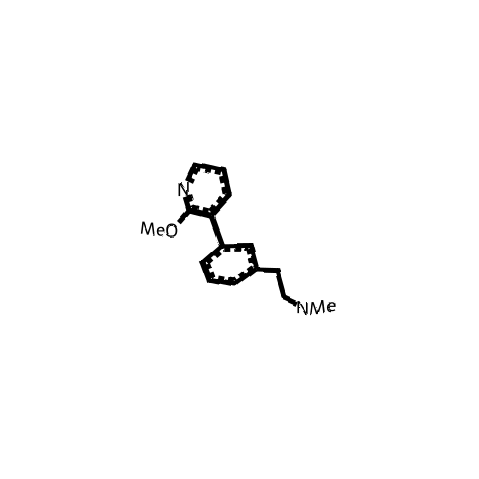 CNCCc1cccc(-c2cccnc2OC)c1